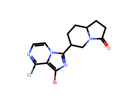 O=C1CCC2CCC(c3nc(Br)c4c(Cl)nccn34)CN12